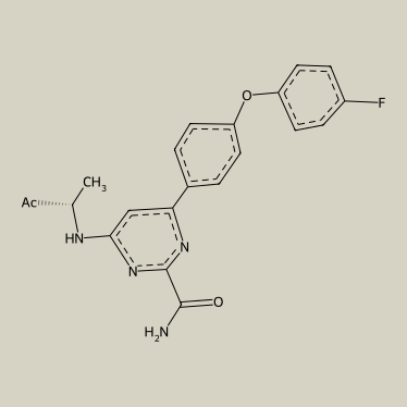 CC(=O)[C@H](C)Nc1cc(-c2ccc(Oc3ccc(F)cc3)cc2)nc(C(N)=O)n1